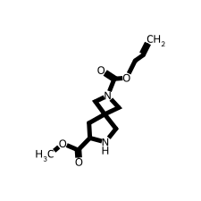 C=CCOC(=O)N1CC2(CNC(C(=O)OC)C2)C1